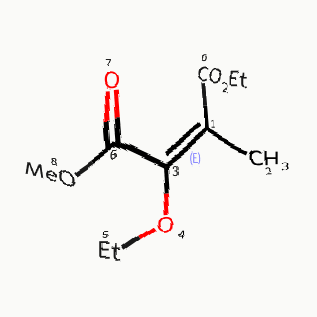 CCOC(=O)/C(C)=C(/OCC)C(=O)OC